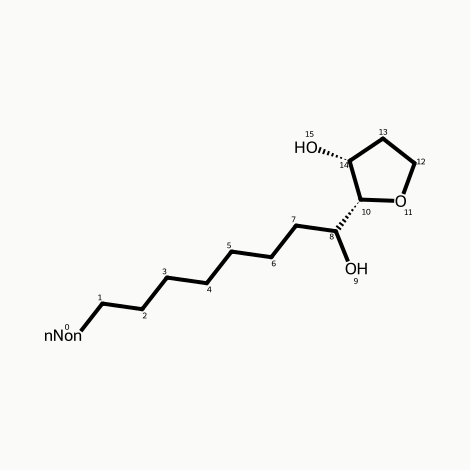 CCCCCCCCCCCCCCCCC(O)[C@H]1OCC[C@H]1O